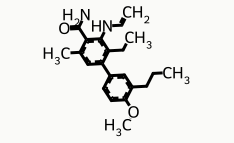 C=CNc1c(CC)c(-c2ccc(OC)c(CCC)c2)cc(C)c1C(N)=O